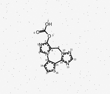 O=C(O)Oc1ncn2c1Cn1ncnc1-c1sccc1-2